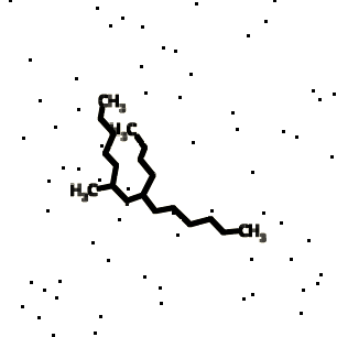 CCCCCCC([CH]C(C)CCCCC)CCCC